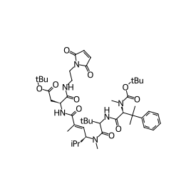 C/C(=C\[C@H](C(C)C)N(C)C(=O)C(NC(=O)[C@@H](N(C)C(=O)OC(C)(C)C)C(C)(C)c1ccccc1)C(C)(C)C)C(=O)N[C@@H](CC(=O)OC(C)(C)C)C(=O)NCCN1C(=O)C=CC1=O